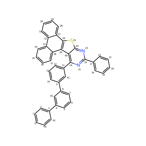 c1ccc(-c2cccc(-c3cccc(-c4nc(-c5ccccc5)nc5sc6c7ccccc7c7ccccc7c6c45)c3)c2)cc1